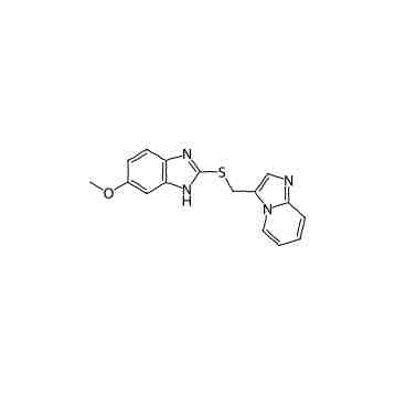 COc1ccc2nc(SCc3cnc4ccccn34)[nH]c2c1